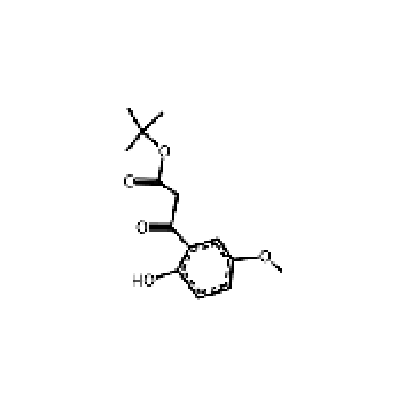 COc1ccc(O)c(C(=O)CC(=O)OC(C)(C)C)c1